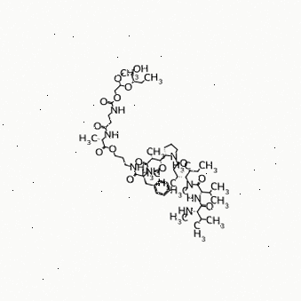 CCC(CO)OC(COC(=O)NCCC(=O)N[C@@H](C)C(=O)OCCCNC(=O)[C@H](Cc1ccccc1)NC(=O)[C@H](C)[C@@H](OC)[C@@H]1CCCN1C(=O)CC(C)[C@H]([C@@H](C)CC)N(C)C(=O)[C@@H](NC(=O)[C@@H](NC)C(C)C)C(C)C)OC